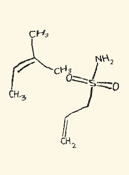 C=CCS(N)(=O)=O.CC=C(C)C